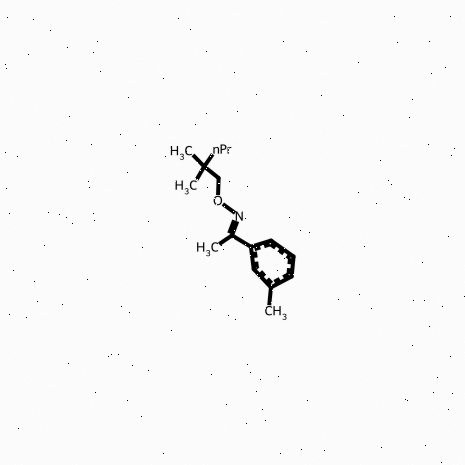 CCCC(C)(C)CO/N=C(\C)c1cccc(C)c1